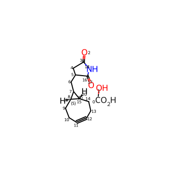 O=C(O)O.O=C1CC(CC2[C@H]3CCC#CCC[C@@H]23)C(=O)N1